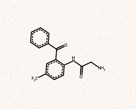 NCC(=O)Nc1ccc(C(F)(F)F)cc1C(=O)c1ccccc1